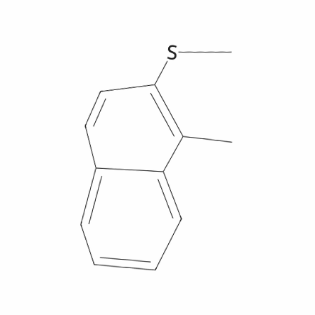 CSc1ccc2ccccc2c1C